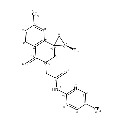 O=C(CN1C[C@]2(C[C@H]2F)c2cc(C(F)(F)F)ccc2C1=O)Nc1ncc(C(F)(F)F)cn1